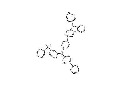 CC1(C)c2ccccc2-c2ccc(B(c3ccc(-c4ccccc4)cc3)c3ccc(-c4ccc5c(c4)c4ccccc4n5-c4ccccc4)cc3)cc21